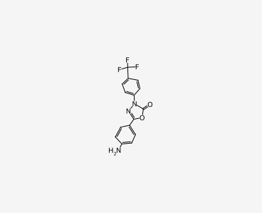 Nc1ccc(-c2nn(-c3ccc(C(F)(F)F)cc3)c(=O)o2)cc1